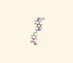 CC(C)OC(=O)N1CCC(CCCNc2ccc3c(c2)CCN(C(=O)O)C3)CC1